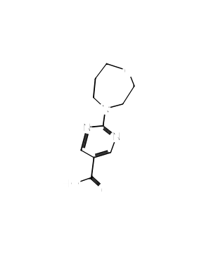 O=C(O)c1cnc(N2CCCOCC2)nc1